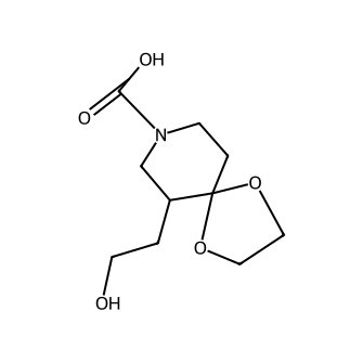 O=C(O)N1CCC2(OCCO2)C(CCO)C1